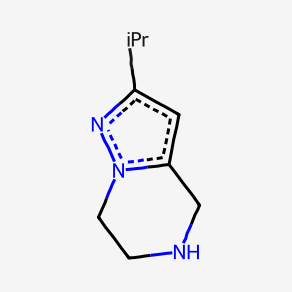 CC(C)c1cc2n(n1)CCNC2